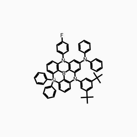 CC(C)(C)c1cc(N2c3cc(N(c4ccccc4)c4ccccc4)cc4c3B3c5c(cccc5[Si](c5ccccc5)(c5ccccc5)c5cccc2c53)N4c2ccc(F)cc2)cc(C(C)(C)C)c1